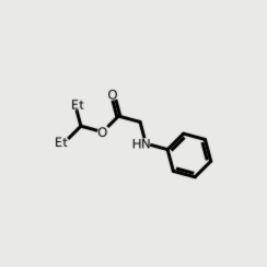 CCC(CC)OC(=O)CNc1ccccc1